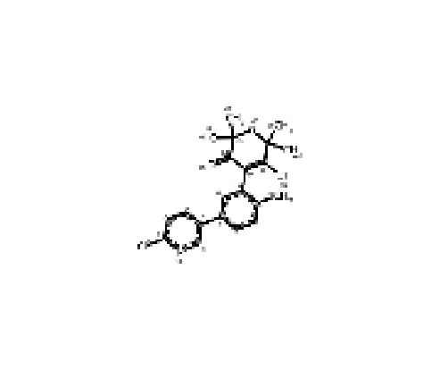 Cc1ccc(-c2ccc(Cl)nc2)cc1C1=C(O)C(C)(C)OC(C)(C)C1=O